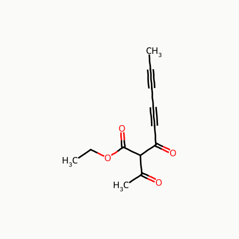 CC#CC#CC(=O)C(C(C)=O)C(=O)OCC